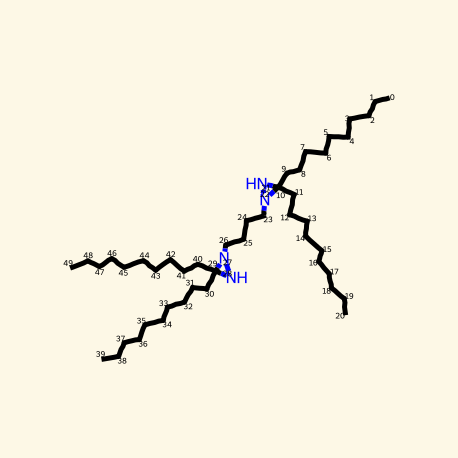 CCCCCCCCCCC1(CCCCCCCCCC)NN1CCCCN1NC1(CCCCCCCCCC)CCCCCCCCCC